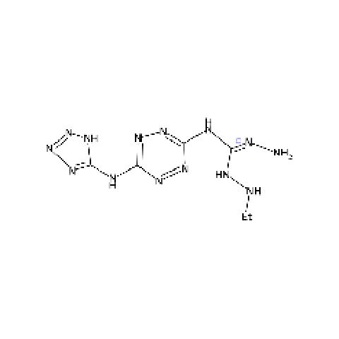 CCNN/C(=N\N)Nc1nnc(Nc2nnn[nH]2)nn1